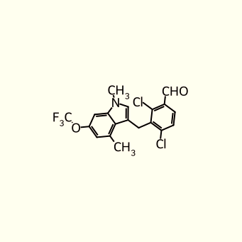 Cc1cc(OC(F)(F)F)cc2c1c(Cc1c(Cl)ccc(C=O)c1Cl)cn2C